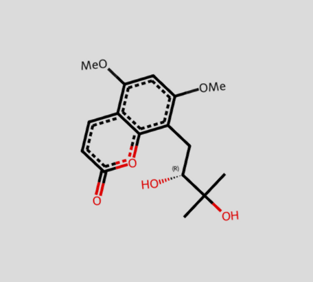 COc1cc(OC)c2ccc(=O)oc2c1C[C@@H](O)C(C)(C)O